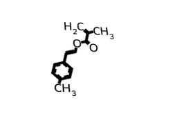 C=C(C)C(=O)OC=Cc1ccc(C)cc1